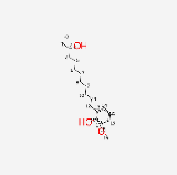 CCC(O)CCCCCCCCCc1cccc(OC)c1O